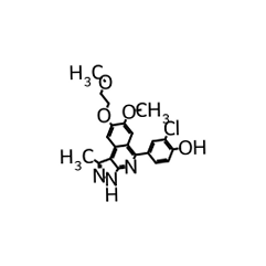 COCCOc1cc2c(cc1OC)c(-c1ccc(O)c(Cl)c1)nc1[nH]nc(C)c12